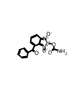 NC(=O)On1[n+]([O-])c2cccc(C(=O)c3ccccc3)c2[n+]1[O-]